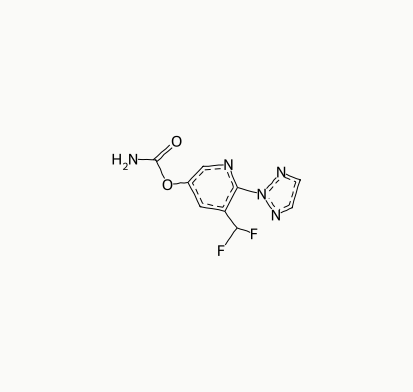 NC(=O)Oc1cnc(-n2nccn2)c(C(F)F)c1